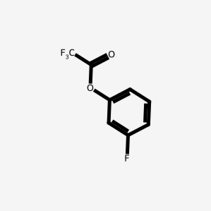 O=C(Oc1cccc(F)c1)C(F)(F)F